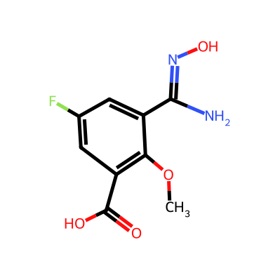 COc1c(C(=O)O)cc(F)cc1/C(N)=N/O